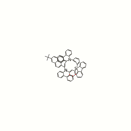 CC(C)(C)c1cc2ccc3c4cc(c5ccc(c1)c2c35)N(c1ccccc1-c1ccccc1)c1cccc(c1)[Si]1(c2cccc(c2)N4c2ccccc2-c2ccccc2)c2ccccc2-c2ccccc21